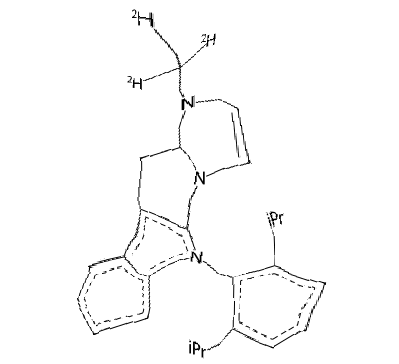 [2H]C([2H])([2H])N1C=CN2c3c(c4ccccc4n3-c3c(C(C)C)cccc3C(C)C)CC21